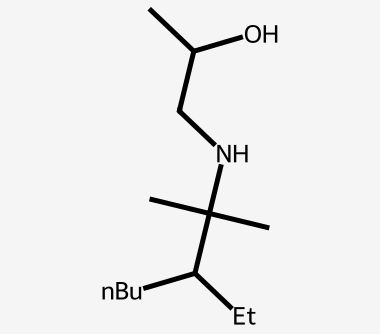 CCCCC(CC)C(C)(C)NCC(C)O